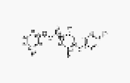 C[C@@H]1CN(Cc2ccc(F)cc2)[C@@H](C)CN1C(=O)COc1cccc(F)c1